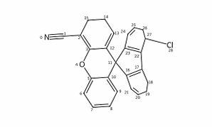 N#CC1=C2Oc3ccccc3C3(C2=CCC1)C1=C(CCC=C1)C1=C3C=CCC1Cl